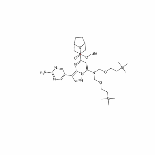 CC(C)(C)OC(=O)N1C2CCC1CC(c1cc(N(COCC[Si](C)(C)C)COCC[Si](C)(C)C)n3ncc(-c4cnc(N)nc4)c3n1)C2